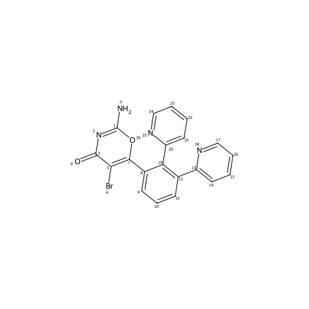 Nc1nc(=O)c(Br)c(-c2cccc(-c3ccccn3)c2-c2ccccn2)o1